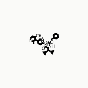 Cc1nccc(C(F)(F)F)c1-c1ccc(NC(=O)[C@@H](NC(=O)OCc2ccccc2)C(C2CC2)C2CC2)nc1F